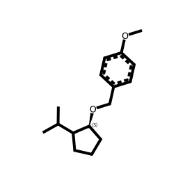 COc1ccc(CO[C@H]2CCCC2C(C)C)cc1